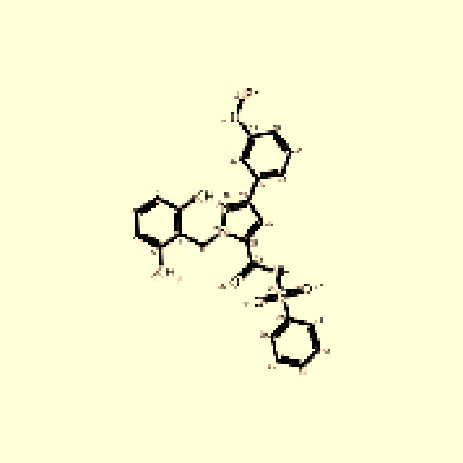 Cc1cccc(C)c1Cn1nc(-c2cccc(OC(C)C)c2)cc1C(=O)NS(=O)(=O)c1ccccc1